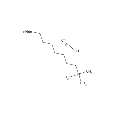 CC(C)O.CCCCCCCCCCCCCCCC[N+](C)(C)C.[Cl-]